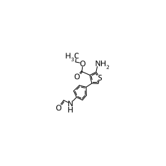 CCOC(=O)c1c(-c2ccc(NC=O)cc2)csc1N